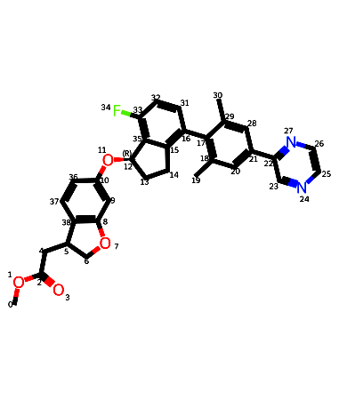 COC(=O)CC1COc2cc(O[C@@H]3CCc4c(-c5c(C)cc(-c6cnccn6)cc5C)ccc(F)c43)ccc21